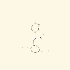 COc1ccc(OC)c(/C=C2\C(=O)Nc3cc(C(F)(F)F)ccc32)c1